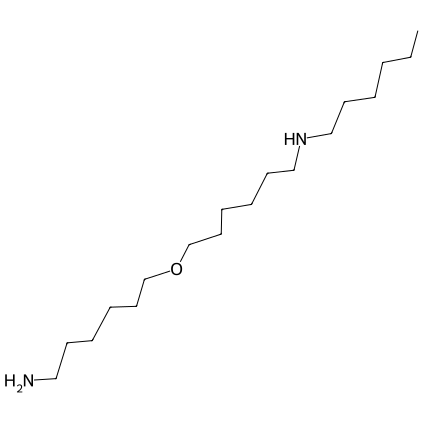 CCCCCCNCCCCCCOCCCCCCN